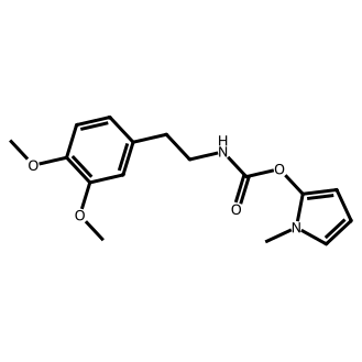 COc1ccc(CCNC(=O)Oc2cccn2C)cc1OC